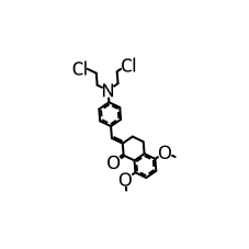 COc1ccc(OC)c2c1CC/C(=C\c1ccc(N(CCCl)CCCl)cc1)C2=O